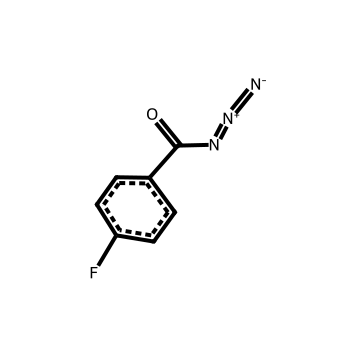 [N-]=[N+]=NC(=O)c1ccc(F)cc1